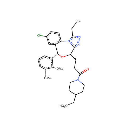 COc1cccc([C@H]2O[C@H](CCC(=O)N3CCC(CC(=O)O)CC3)c3nnc(CC(C)(C)C)n3-c3ccc(Cl)cc32)c1OC